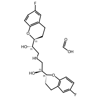 O=CO.O[C@@H](CNC[C@H](O)[C@H]1CCc2cc(F)ccc2O1)[C@@H]1CCc2cc(F)ccc2O1